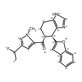 Cn1nc(C(F)F)cc1C(=O)N1CCc2[nH]cnc2[C@H]1c1cc2ccccc2o1